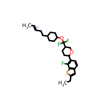 C/C=C/CCC1CCC(OC(F)(F)C2CCC(c3ccc4cc(CC)sc4c3F)OC2)CC1